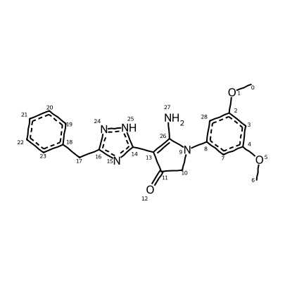 COc1cc(OC)cc(N2CC(=O)C(c3nc(Cc4ccccc4)n[nH]3)=C2N)c1